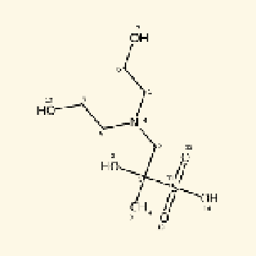 CC(O)(CN(CCO)CCO)S(=O)(=O)O